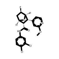 COc1cc([C@H]2[C@H]3O[C@H](C[C@H]3F)[C@H]2C(=O)Nc2ccc(Cl)c(Cl)c2)ccn1